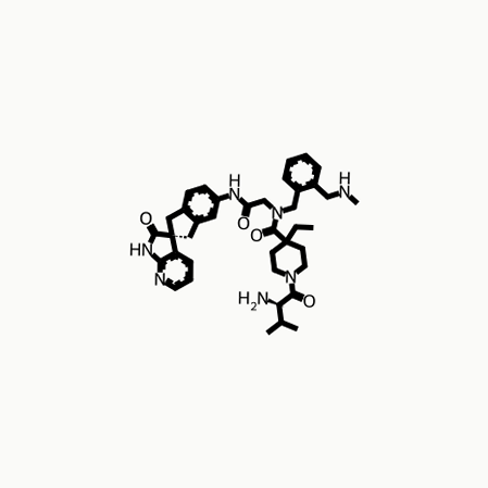 CCC1(C(=O)N(CC(=O)Nc2ccc3c(c2)C[C@@]2(C3)C(=O)Nc3ncccc32)Cc2ccccc2CNC)CCN(C(=O)[C@H](N)C(C)C)CC1